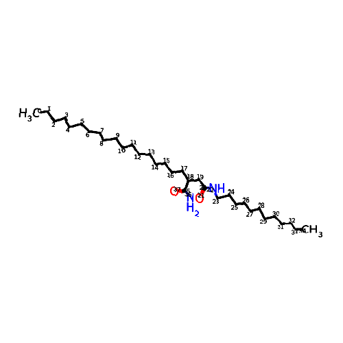 CCCCCCCCCCCCCCCCCCC(CC(=O)NCCCCCCCCCCCC)C(N)=O